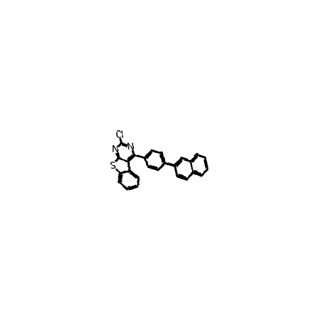 Clc1nc(-c2ccc(-c3ccc4ccccc4c3)cc2)c2c(n1)sc1ccccc12